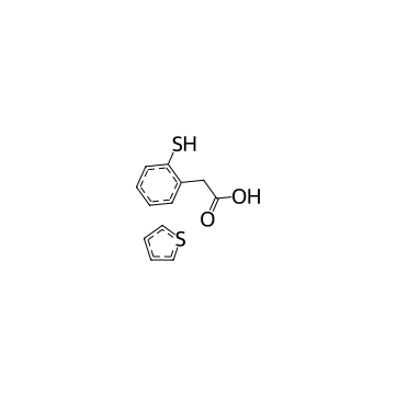 O=C(O)Cc1ccccc1S.c1ccsc1